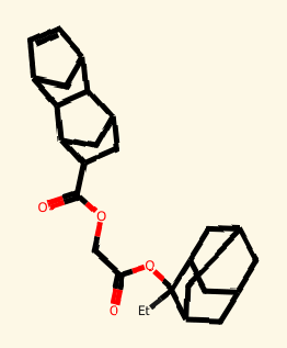 CCC1(OC(=O)COC(=O)C2CC3CC2C2C4C=CC(C4)C32)C2CC3CC(C2)CC1C3